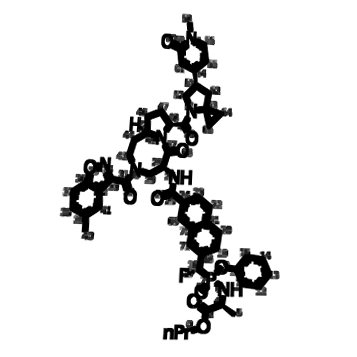 CCCOC(=O)[C@H](C)NP(=O)(Oc1ccccc1)[C@H](F)c1ccc2ccc(C(=O)N[C@H]3CN(C(=O)c4noc5ccc(C)cc45)CC[C@H]4CC[C@@H](C(=O)N5C[C@@H](c6ccn(C)c(=O)c6)CC56CC6)N4C3=O)cc2c1